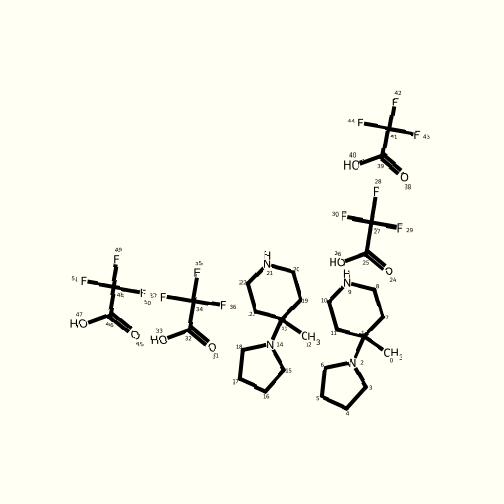 CC1(N2CCCC2)CCNCC1.CC1(N2CCCC2)CCNCC1.O=C(O)C(F)(F)F.O=C(O)C(F)(F)F.O=C(O)C(F)(F)F.O=C(O)C(F)(F)F